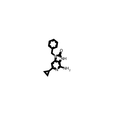 Nc1nc(C2CC2)cc2c1[nH]c(=O)n2Cc1ccccc1